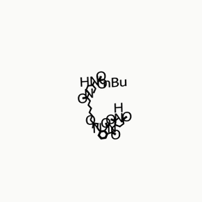 CCCCOC(=O)NC1CCN(C(=O)CCCCCOC2CN(c3cccc4c3C(=O)N(C3CCC(=O)NC3=O)C4=O)C2)CC1